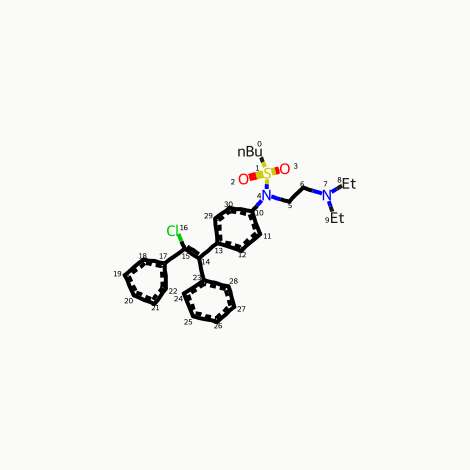 CCCCS(=O)(=O)N(CCN(CC)CC)c1ccc(C(=C(Cl)c2ccccc2)c2ccccc2)cc1